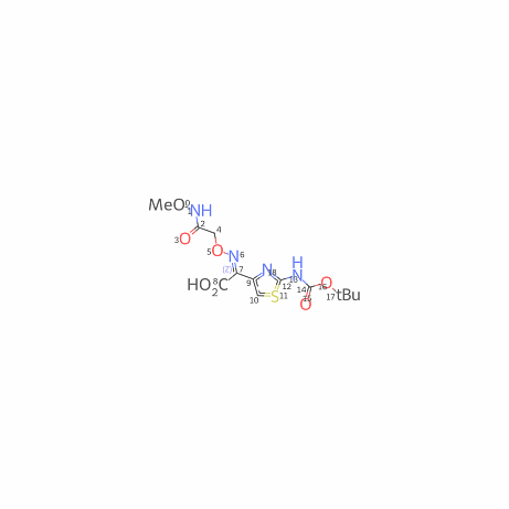 CONC(=O)CO/N=C(\C(=O)O)c1csc(NC(=O)OC(C)(C)C)n1